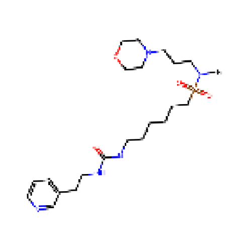 CC(C)N(CCCN1CCOCC1)S(=O)(=O)CCCCCCNC(=O)NCCc1cccnc1